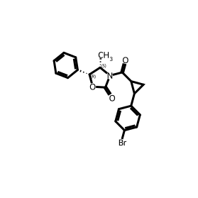 C[C@H]1[C@@H](c2ccccc2)OC(=O)N1C(=O)C1CC1c1ccc(Br)cc1